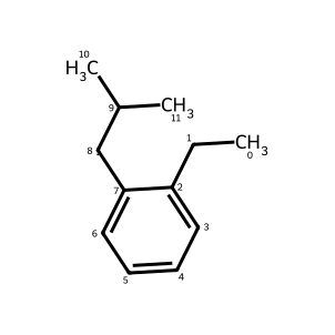 CCc1ccccc1[CH]C(C)C